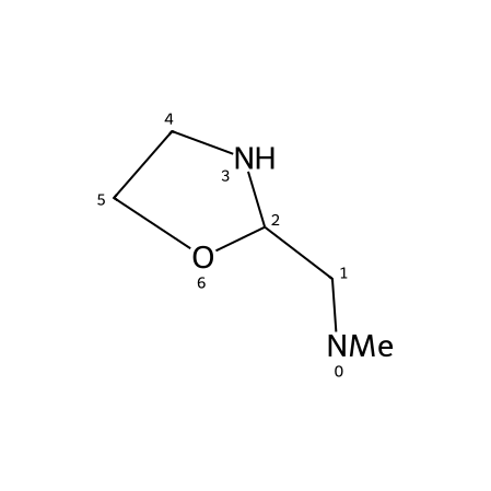 CNCC1NCCO1